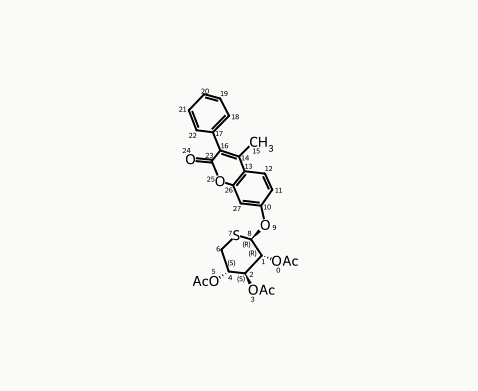 CC(=O)O[C@@H]1[C@@H](OC(C)=O)[C@H](OC(C)=O)CS[C@H]1Oc1ccc2c(C)c(-c3ccccc3)c(=O)oc2c1